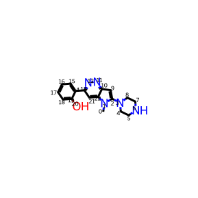 Cn1c(N2CCNCC2)cc2nnc(-c3ccccc3O)cc21